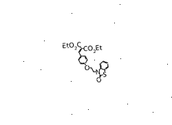 CCOC(=O)C(=Cc1ccc(OCCn2c(=O)sc3ccccc32)cc1)C(=O)OCC